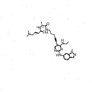 CCNc1nc(Nc2ccc3cnn(C)c3c2)ncc1C#CCCCNC(=O)[C@H](C)N(C)C(=O)/C=C/CN(C)C